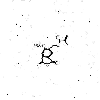 C=C(C)C(=O)OCc1cc2c(cc1C(=O)O)C(=O)OC2=O